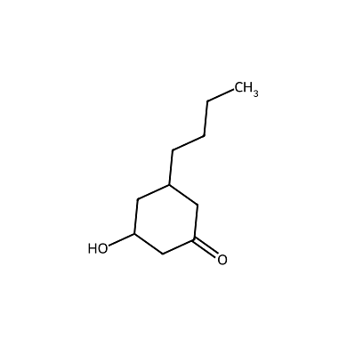 CCCCC1CC(=O)CC(O)C1